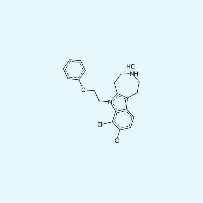 Cl.Clc1ccc2c3c(n(CCOc4ccccc4)c2c1Cl)CCNCC3